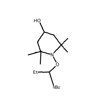 CCCCC(CC)ON1C(C)(C)CC(O)CC1(C)C